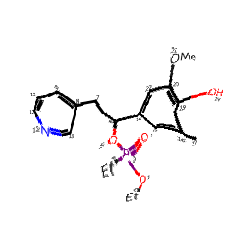 CCOP(=O)(CC)OC(Cc1cccnc1)c1cc(C)c(O)c(OC)c1